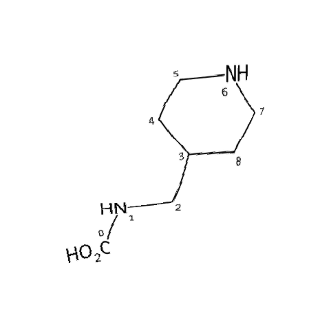 O=C(O)NCC1CCNCC1